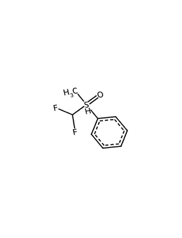 C[SH](=O)(c1ccccc1)C(F)F